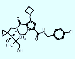 CC(C)(CO)S(=O)(=O)C1(CN2CCn3c(C(=O)NCc4ccc(Cl)cc4)cc(N4CCC4)c3C2=O)CC1